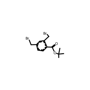 CC(C)(C)OC(=O)c1ccc(CBr)cc1CBr